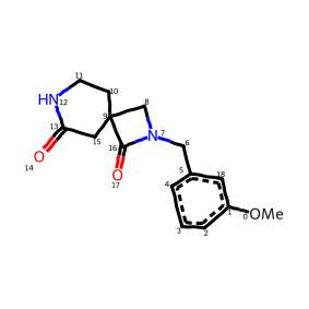 COc1cccc(CN2CC3(CCNC(=O)C3)C2=O)c1